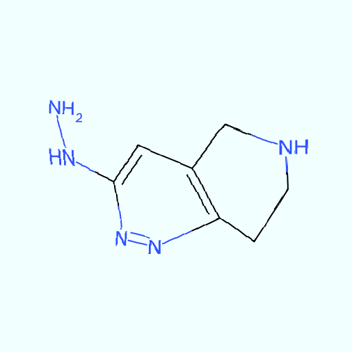 NNc1cc2c(nn1)CCNC2